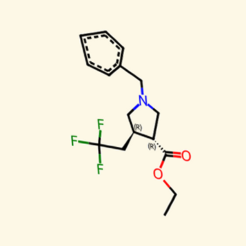 CCOC(=O)[C@H]1CN(Cc2ccccc2)C[C@@H]1CC(F)(F)F